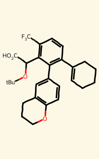 CC(C)(C)OC(C(=O)O)c1c(C(F)(F)F)ccc(C2=CCCCC2)c1-c1ccc2c(c1)CCCO2